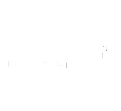 CNCCCCCCCCO.Cl